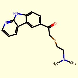 CN(C)CCSCC(=O)c1ccc2[nH]c3ncccc3c2c1